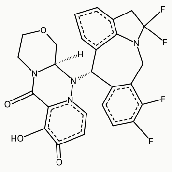 O=C1c2c(O)c(=O)ccn2N([C@H]2c3ccc(F)c(F)c3CN3c4c(cccc42)CC3(F)F)[C@@H]2COCCN12